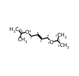 CC(C)OCC=CCOC(C)C